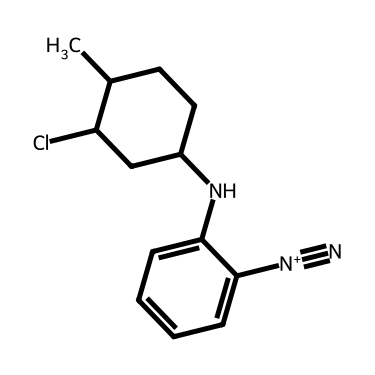 CC1CCC(Nc2ccccc2[N+]#N)CC1Cl